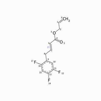 C=CCOC(=O)/C=C/Cc1cc(F)c(F)cc1F